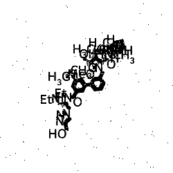 CCN(CC)C[C@H](Cn1cc(CO)nn1)NC(=O)c1cc(-c2cccc(CN3O[C@@H](CO)[C@@H]([C@H](C)O)[C@H]3C(=O)N[C@H]3C[C@H]4C[C@@H]([C@@H]3C)C4(C)C)c2OC)cc(N(C)C)c1